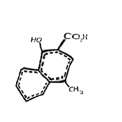 Cc1cc(C(=O)O)c(O)c2ccccc12